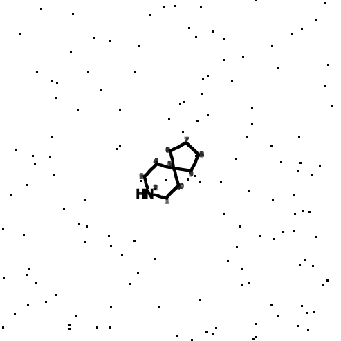 [CH]1CNCCC12CCCC2